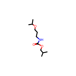 CC(C)COC(=O)NCCCOC(C)C